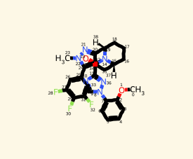 COc1ccccc1-n1cnc(C(=O)N2[C@@H]3CCC[C@H]2c2nn(C)c(-c4cc(F)c(F)c(F)c4)c2C3)n1